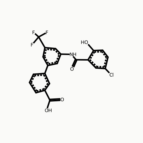 O=C(O)c1cccc(-c2cc(NC(=O)c3cc(Cl)ccc3O)cc(C(F)(F)F)c2)c1